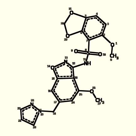 COc1ccc2c(c1S(=O)(=O)Nc1noc3cc(Cn4cccn4)cc(OC)c13)OCO2